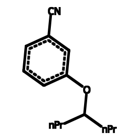 CCCC(CCC)Oc1cccc(C#N)c1